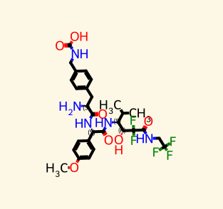 COc1ccc([C@H](NC(=O)[C@@H](N)Cc2ccc(CNC(=O)O)cc2)C(=O)N[C@@H](C(C)C)[C@@H](O)C(F)(F)C(=O)NCC(F)(F)F)cc1